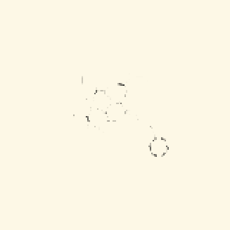 CC(=O)O[C@H]1[C@@H](OC(C)=O)[C@@H](COCc2ccccc2)O[C@@H](OF)[C@@H]1OC(C)=O